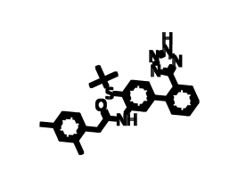 Cc1ccc(CC(=O)Nc2cc(-c3ccccc3-c3nn[nH]n3)ccc2SC(C)(C)C)c(C)c1